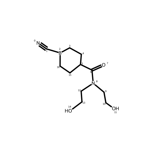 N#CB1CCC(C(=O)N(CCO)CCO)CC1